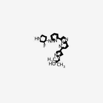 CC(C)(O)Cn1cc(-c2ccc3ncc(-c4cccc(N[C@H]5CCNC[C@@H]5F)n4)n3n2)cn1